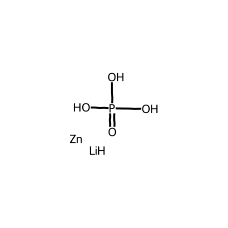 O=P(O)(O)O.[LiH].[Zn]